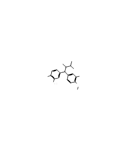 COc1ccc(C(c2ccc(O)c(O)c2)C(C)C(C)C)cc1O